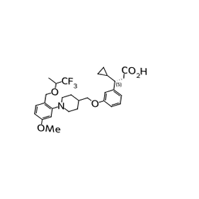 COc1ccc(COC(C)C(F)(F)F)c(N2CCC(COc3cccc([C@@H](CC(=O)O)C4CC4)c3)CC2)c1